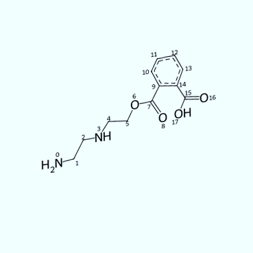 NCCNCCOC(=O)c1ccccc1C(=O)O